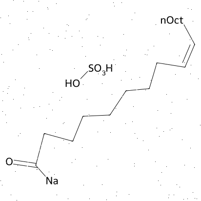 CCCCCCCC/C=C\CCCCCCC[C](=O)[Na].O=S(=O)(O)O